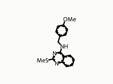 COc1ccc(CNc2nc(SC)nc3ccccc23)cc1